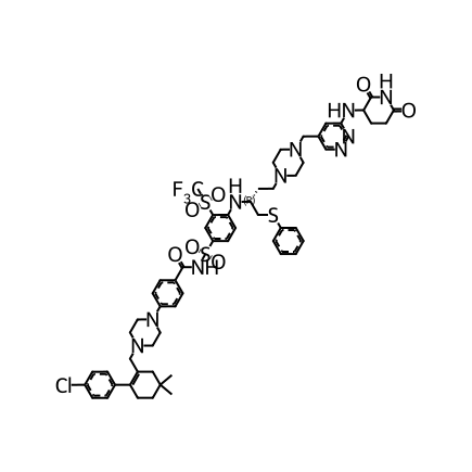 CC1(C)CCC(c2ccc(Cl)cc2)=C(CN2CCN(c3ccc(C(=O)NS(=O)(=O)c4ccc(N[C@H](CCN5CCN(Cc6cnnc(NC7CCC(=O)NC7=O)c6)CC5)CSc5ccccc5)c(S(=O)(=O)C(F)(F)F)c4)cc3)CC2)C1